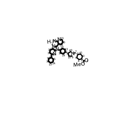 COC(=O)[C@H]1CC[C@H](CN2CC[C@@H](c3ccc(-n4c(-c5cccnc5N)nc5ccc(-c6ccccc6)nc54)cc3)C2)CC1